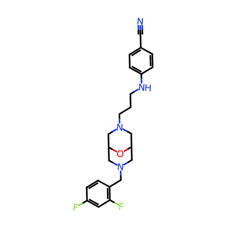 N#Cc1ccc(NCCCN2CC3CN(Cc4ccc(F)cc4F)CC(C2)O3)cc1